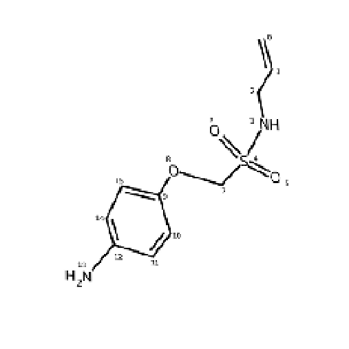 C=CCNS(=O)(=O)COc1ccc(N)cc1